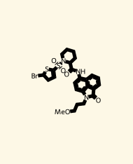 COCCCN1C(=O)c2cccc3c(NC(=O)C4CCCCN4S(=O)(=O)C4=CCC(Br)S4)ccc1c23